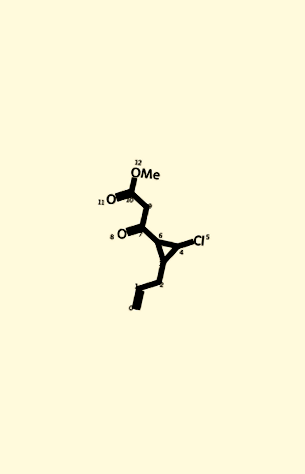 C=CCC1C(Cl)C1C(=O)CC(=O)OC